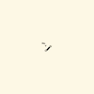 [Cl][Er].[Ho].[Y]